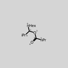 CCCCCCC(OC(=O)CCC)C(C)C